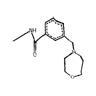 CNC(=O)c1c[c]cc(CN2CCOCC2)c1